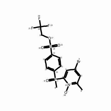 Cc1cc(Br)cc(P(C)(=O)c2ccc(S(=O)(=O)OCC(F)(F)F)cc2)[n+]1[O-]